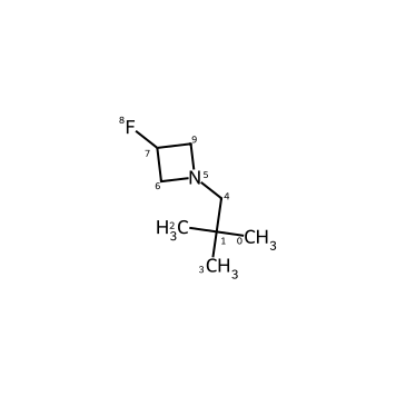 CC(C)(C)CN1CC(F)C1